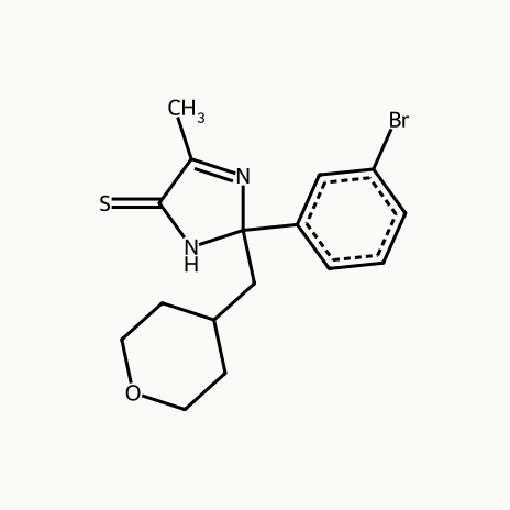 CC1=NC(CC2CCOCC2)(c2cccc(Br)c2)NC1=S